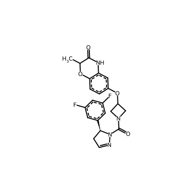 CC1Oc2ccc(OC3CN(C(=O)N4N=CC[C@H]4c4cc(F)cc(F)c4)C3)cc2NC1=O